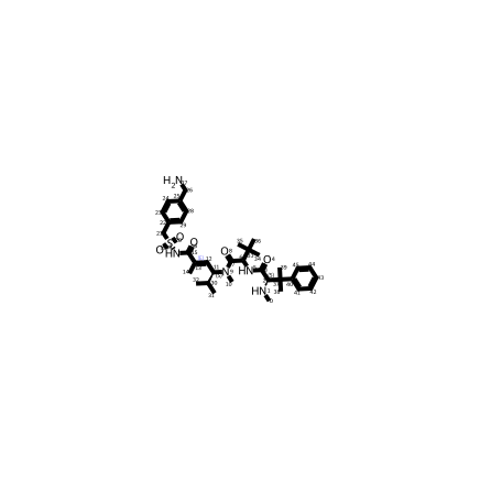 CN[C@H](C(=O)NC(C(=O)N(C)[C@H](/C=C(\C)C(=O)NS(=O)(=O)Cc1ccc(CN)cc1)C(C)C)C(C)(C)C)C(C)(C)c1ccccc1